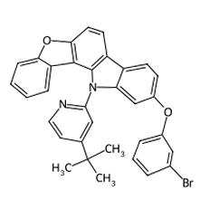 CC(C)(C)c1ccnc(-n2c3cc(Oc4cccc(Br)c4)ccc3c3ccc4oc5ccccc5c4c32)c1